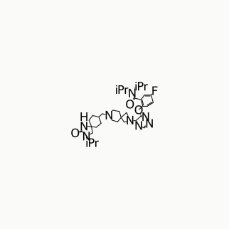 CC(C)N1CC2(CCC(CN3CCC4(CC3)CN(c3ncnnc3Oc3ccc(F)cc3C(=O)N(C(C)C)C(C)C)C4)CC2)NC1=O